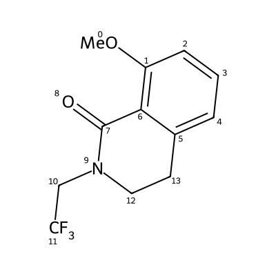 COc1cccc2c1C(=O)N(CC(F)(F)F)CC2